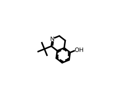 CC(C)(C)C1=NCCc2c(O)cccc21